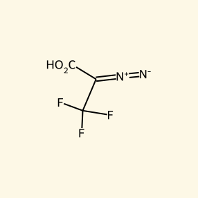 [N-]=[N+]=C(C(=O)O)C(F)(F)F